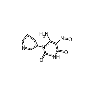 Nc1c(N=O)c(=O)[nH]c(=O)n1-c1cccnc1